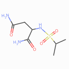 CC(C)S(=O)(=O)NC(CC(N)=O)C(N)=O